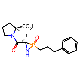 C[C@@]1(C(=O)N2CCC[C@H]2C(=O)O)NP1(=O)CCCc1ccccc1